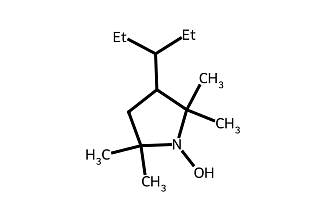 CCC(CC)C1CC(C)(C)N(O)C1(C)C